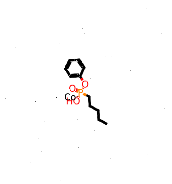 CCCCCP(=O)(O)Oc1ccccc1.[Co]